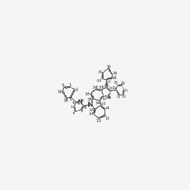 c1ccc(-c2cccc(-n3c4ccccc4c4c5sc(-c6ccccc6)c(-c6ccccc6)c5ccc43)n2)cc1